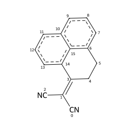 N#CC(C#N)=C1CCc2cccc3cccc1c23